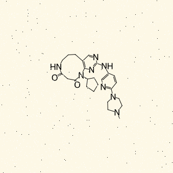 CN1CCN(c2ccc(Nc3ncc4c(n3)N(C3CCCC3)C(=O)CC(=O)NCCC4)cn2)CC1